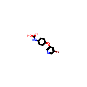 O=C(O)NC1CCC(Oc2cncc(Br)c2)CC1